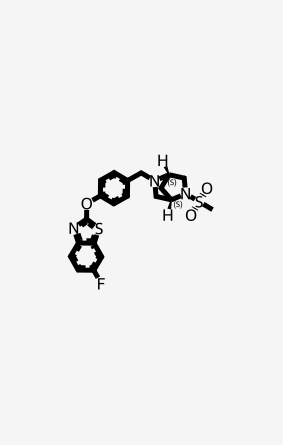 CS(=O)(=O)N1C[C@@H]2C[C@H]1CN2Cc1ccc(Oc2nc3ccc(F)cc3s2)cc1